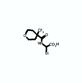 CCC(NC(=O)C1(C(F)(F)F)CCOCC1)C(=O)O